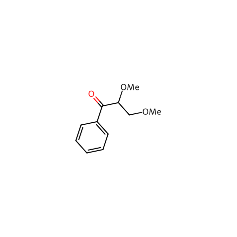 COCC(OC)C(=O)c1ccccc1